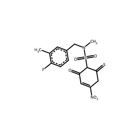 Cc1cc(CN(C)S(=O)(=O)C2C(=O)C=C([N+](=O)[O-])CC2=S)ccc1F